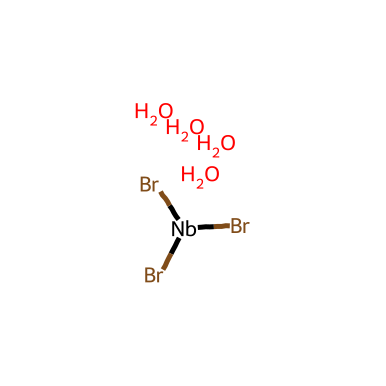 O.O.O.O.[Br][Nb]([Br])[Br]